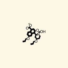 C=CCOc1ccc2c(C(=O)OC)ccc(C3CC(OCC=C)CCN3C(=O)O)c2c1